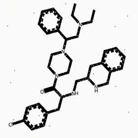 CCN(CC)CC(c1ccccc1)N1CCN(C(=O)C(Cc2ccc(Cl)cc2)NCC2Cc3ccccc3CN2)CC1